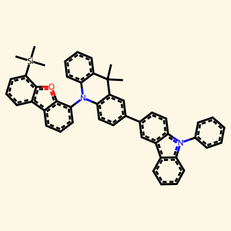 CC1(C)c2ccccc2N(c2cccc3c2oc2c([Si](C)(C)C)cccc23)c2ccc(-c3ccc4c(c3)c3ccccc3n4-c3ccccc3)cc21